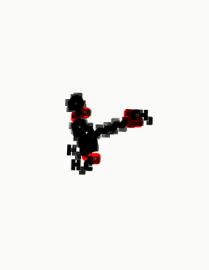 CC(=O)O[C@H]1CC[C@H]2[C@@H]3[C@H](CCCCCCCCOS(C)(=O)=O)Cc4cc(OC(=O)c5ccccc5)ccc4[C@H]3CC[C@]12C